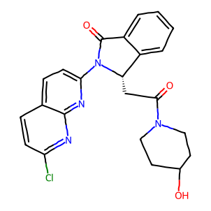 O=C(C[C@H]1c2ccccc2C(=O)N1c1ccc2ccc(Cl)nc2n1)N1CCC(O)CC1